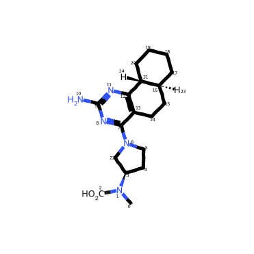 CN(C(=O)O)[C@@H]1CCN(c2nc(N)nc3c2CC[C@@H]2CCCC[C@@H]32)C1